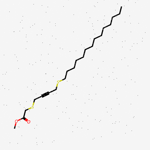 CCCCCCCCCCCCCCSCC#CCSCC(=O)OC